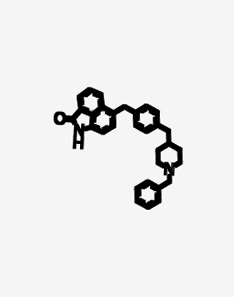 O=C1Nc2ccc(Cc3ccc(CC4CCN(Cc5ccccc5)CC4)cc3)c3cccc1c23